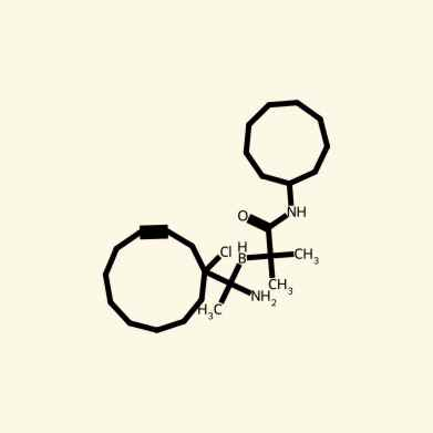 CC(C)(BC(C)(N)C1(Cl)CC#CCCCCCCC1)C(=O)NC1CCCCCCCC1